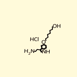 Cl.NCCc1c[nH]c2ccc(OCCCCCCCCO)cc12